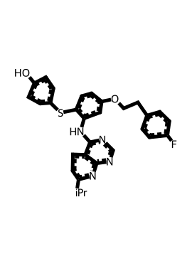 CC(C)c1ccc2c(Nc3cc(OCCc4ccc(F)cc4)ccc3Sc3ccc(O)cc3)ncnc2n1